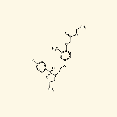 CCCN(CCSc1ccc(OCC(=O)OCC)c(C)c1)S(=O)(=O)c1ccc(Br)cc1